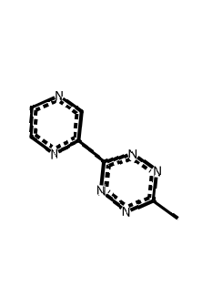 Cc1nnc(-c2cnccn2)nn1